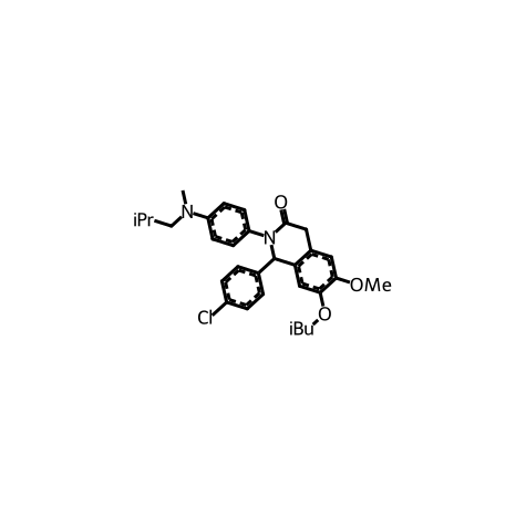 CCC(C)Oc1cc2c(cc1OC)CC(=O)N(c1ccc(N(C)CC(C)C)cc1)C2c1ccc(Cl)cc1